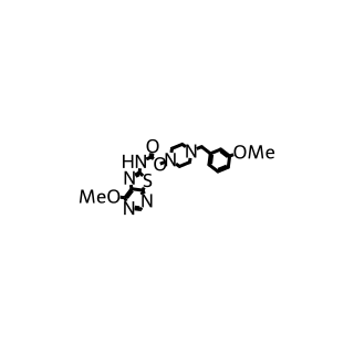 COc1cccc(CN2CCN(OC(=O)Nc3nc4c(OC)ncnc4s3)CC2)c1